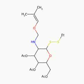 CCSSC1OC(COC(C)=O)C(OC(C)=O)C(OC(C)=O)C1NCOC=C(C)C